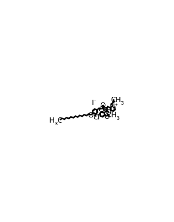 CCCCCCCCCCCCCCOc1ccc(COC(=O)N(Cc2cccc[n+]2CCC)C(=O)c2ccccc2OC)cc1Cl.[I-]